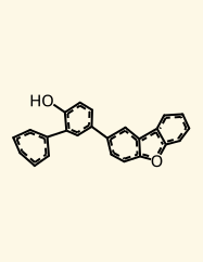 Oc1ccc(-c2ccc3oc4ccccc4c3c2)cc1-c1ccccc1